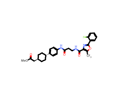 COC(=O)C[C@H]1CC[C@H](c2ccc(NC(=O)CCNC(=O)c3nc(-c4ccccc4F)oc3C(F)(F)F)cc2)CC1